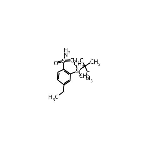 CCc1ccc(S(N)(=O)=O)c([Si](C)(C)C(C)(C)C)c1